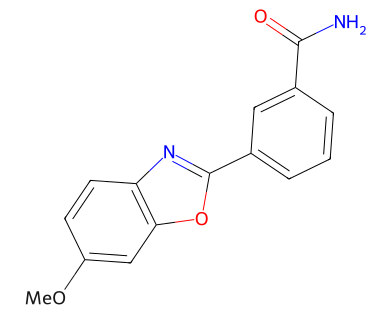 COc1ccc2nc(-c3cccc(C(N)=O)c3)oc2c1